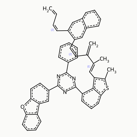 C=C/C=C\c1cc2ccccc2cc1/C=C\C(=C)/C(C)=C/c1c(C)sc2cccc(-c3nc(-c4ccccc4)nc(-c4ccc5oc6ccccc6c5c4)n3)c12